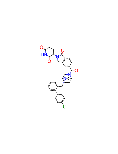 O=C1CCC(N2Cc3cc(C(=O)N4CC5CCC4CN5Cc4ccccc4-c4ccc(Cl)cc4)ccc3C2=O)C(=O)N1